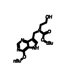 CCCCOc1ncnc2c(CN(CCO)C(=O)OC(C)(C)C)c[nH]c12